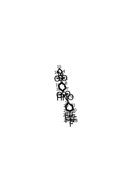 O=C(NS(=O)(=O)c1ccc(S(=O)(=O)N2CCC2)cc1)c1ccc(C(F)(F)C(F)(F)F)cc1